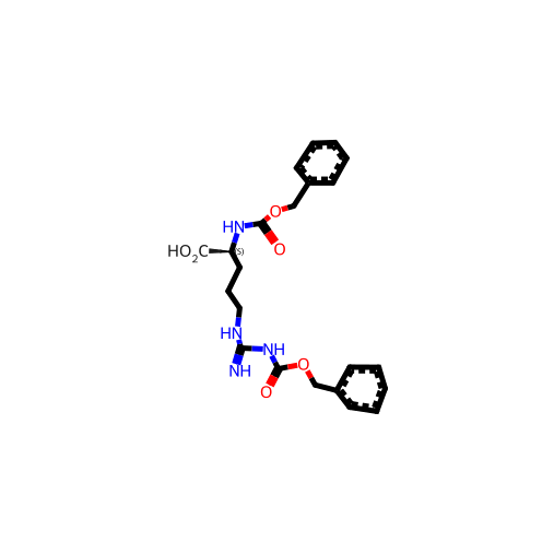 N=C(NCCC[C@H](NC(=O)OCc1ccccc1)C(=O)O)NC(=O)OCc1ccccc1